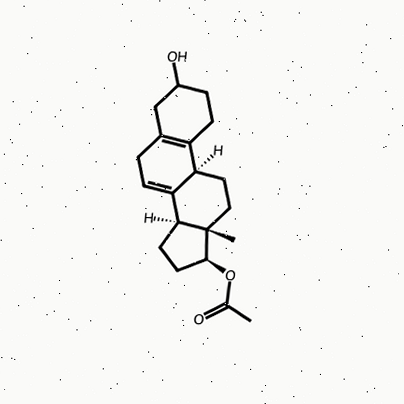 CC(=O)O[C@H]1CC[C@H]2C3=CCC4=C(CCC(O)C4)[C@H]3CC[C@]12C